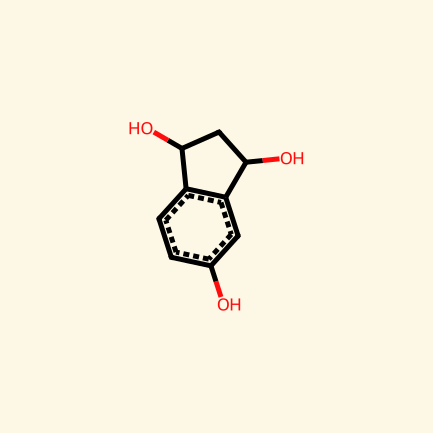 Oc1ccc2c(c1)C(O)CC2O